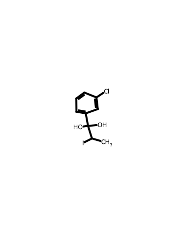 CC(I)C(O)(O)c1cccc(Cl)c1